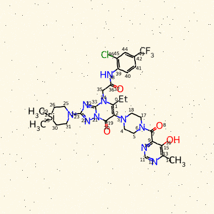 CCc1c(N2CCN(C(=O)c3ncnc(C)c3O)CC2)c(=O)n2nc(N3CC[Si](C)(C)CC3)nc2n1CC(=O)Nc1ccc(C(F)(F)F)cc1Cl